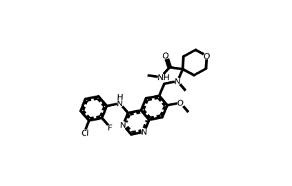 CNC(=O)C1(N(C)Cc2cc3c(Nc4cccc(Cl)c4F)ncnc3cc2OC)CCOCC1